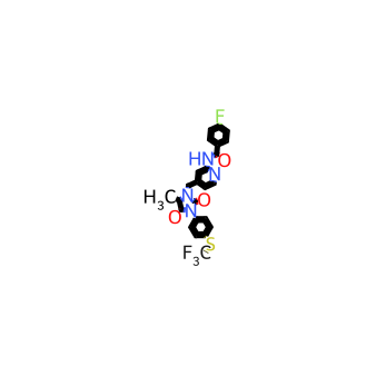 CC1C(=O)N(c2ccc(SC(F)(F)F)cc2)C(=O)N1Cc1ccnc(NC(=O)c2ccc(F)cc2)c1